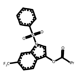 CC(C)C(=O)Oc1cn(S(=O)(=O)c2ccccc2)c2cc(C(F)(F)F)ccc12